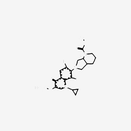 CC(C)(C)OC(=O)N1CCC[C@H]2CN(c3c(F)cc4c(=O)c(OC(=O)O)cn(C5CC5)c4c3F)C[C@H]21